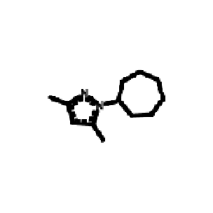 Cc1cc(C)n(C2CCCCCC2)n1